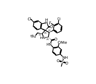 COc1cc(NS(C)(=O)=O)ccc1NC(=O)[C@@H]1N[C@@H](CC(C)(C)C)[C@@]2(C(=O)Nc3cc(Cl)ccc32)[C@H]1c1cccc(Cl)c1F